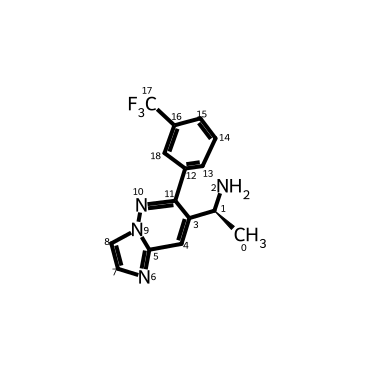 C[C@H](N)c1cc2nccn2nc1-c1cccc(C(F)(F)F)c1